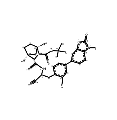 Cn1c(=O)oc2cc(-c3ccc(CC(C#N)NC(=O)[C@@H]4[C@H]5CC[C@H](C5)N4C(=O)OC(C)(C)C)c(F)c3)ccc21